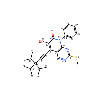 CSc1ncc2c(C#C[Si](C(C)C)(C(C)C)C(C)C)c(Br)c(=O)n(-c3ccccc3)c2n1